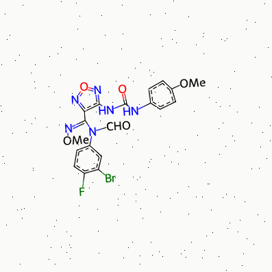 CO/N=C(/c1nonc1NC(=O)Nc1ccc(OC)cc1)N(C=O)c1ccc(F)c(Br)c1